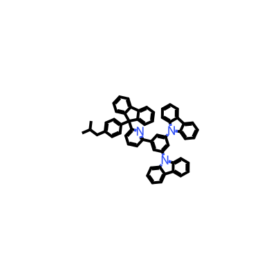 CC(C)Cc1ccc(C2(c3cccc(-c4cc(-n5c6ccccc6c6ccccc65)cc(-n5c6ccccc6c6ccccc65)c4)n3)c3ccccc3-c3ccccc32)cc1